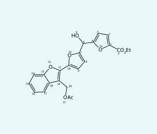 CCOC(=O)c1ccc(C(O)c2ccc(-c3oc4ccccc4c3COC(C)=O)o2)o1